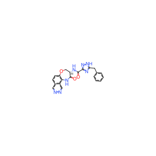 O=C(N[C@H]1COc2ccc3cnncc3c2NC1=O)c1n[nH]c(Cc2ccccc2)n1